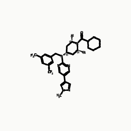 CC[C@@H]1C[C@H](N(Cc2cc(C(F)(F)F)cc(C(F)(F)F)c2)c2ncc(-c3cnn(C)c3)cn2)C[C@H](CC)N1C(=O)C1CCCCC1